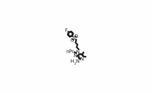 CCCc1nc2c(N)nc(C)c(C)c2n1CCCCCS(=O)(=O)c1ccc(F)cc1